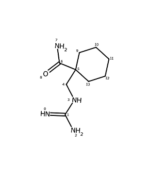 N=C(N)NCC1(C(N)=O)CCCCC1